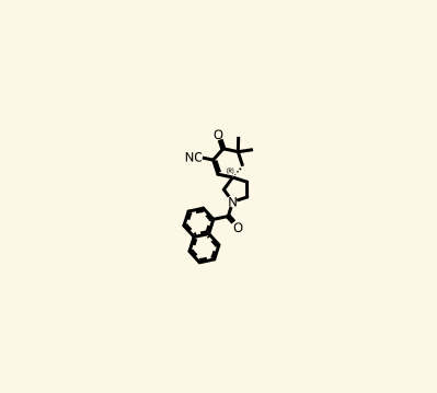 CC1(C)C[C@]2(C=C(C#N)C1=O)CCN(C(=O)c1cccc3ccccc13)C2